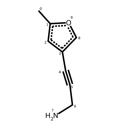 Cc1cc(C#CCN)co1